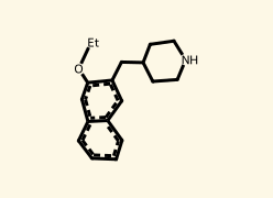 CCOc1cc2ccccc2cc1CC1CCNCC1